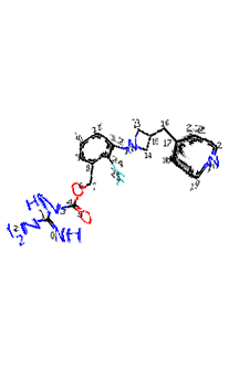 N=C(N)NC(=O)OCc1cccc(N2CC(Cc3ccncc3)C2)c1F